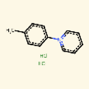 Cc1ccc(-[n+]2ccccc2)cc1.Cl.Cl